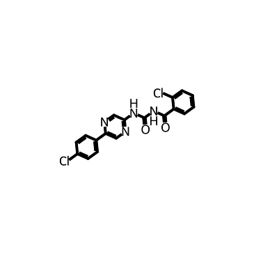 O=C(NC(=O)c1ccccc1Cl)Nc1cnc(-c2ccc(Cl)cc2)cn1